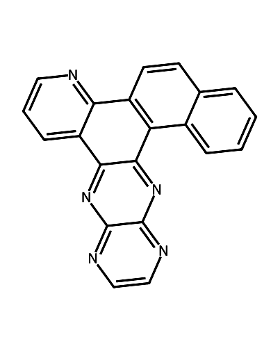 c1ccc2c(c1)ccc1c3ncccc3c3nc4nccnc4nc3c21